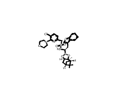 CC1(C)[C@@H]2C[C@H]3OB([C@H](Cc4coc5ccccc45)NS(=O)(=O)Cc4ccc(Cl)c(N5CCOCC5)n4)O[C@@]3(C)[C@H]1C2